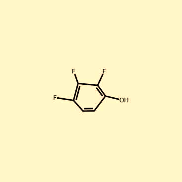 Oc1c[c]c(F)c(F)c1F